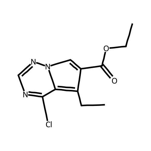 CCOC(=O)c1cn2ncnc(Cl)c2c1CC